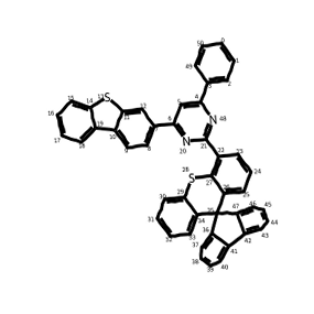 c1ccc(-c2cc(-c3ccc4c(c3)sc3ccccc34)nc(-c3cccc4c3Sc3ccccc3C43c4ccccc4-c4ccccc43)n2)cc1